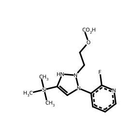 C[Si](C)(C)C1=CN(c2cccnc2F)N(CCOC(=O)O)N1